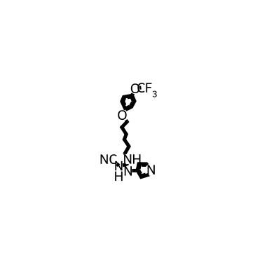 N#CNC(=Nc1ccncc1)NCCCCCCOc1ccc(OC(F)(F)F)cc1